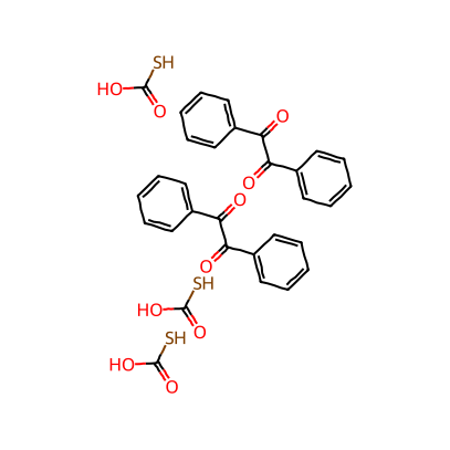 O=C(C(=O)c1ccccc1)c1ccccc1.O=C(C(=O)c1ccccc1)c1ccccc1.O=C(O)S.O=C(O)S.O=C(O)S